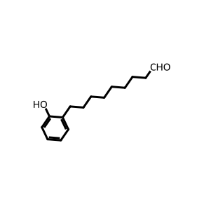 O=CCCCCCCCCc1ccccc1O